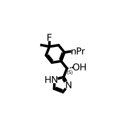 CCCC1=C([C@H](O)c2ncc[nH]2)C=CC(C)(F)C1